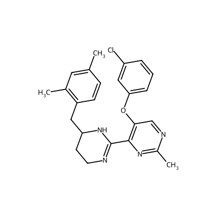 Cc1ccc(CC2CCN=C(c3nc(C)ncc3Oc3cccc(Cl)c3)N2)c(C)c1